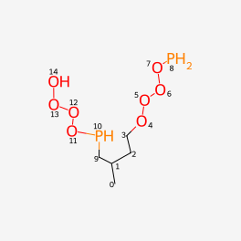 CC(CCOOOOP)CPOOOO